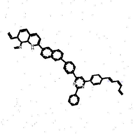 C=C/C=C\C=C\C1C=CC(c2cc(-c3ccc(-c4ccc5cc(C6=CC=C7C=CC(C=C)C(N=C)C7N6)ccc5c4)cc3)nc(-c3ccccc3)n2)=CC1